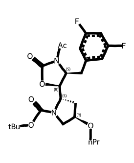 CCCO[C@@H]1C[C@@H]([C@H]2OC(=O)N(C(C)=O)[C@H]2Cc2cc(F)cc(F)c2)N(C(=O)OC(C)(C)C)C1